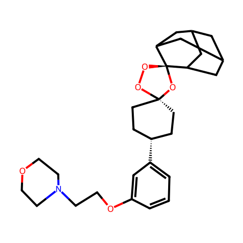 c1cc(OCCN2CCOCC2)cc([C@H]2CC[C@]3(CC2)OO[C@]2(O3)C3CC4CC(C3)CC2C4)c1